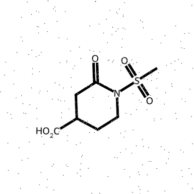 CS(=O)(=O)N1CCC(C(=O)O)CC1=O